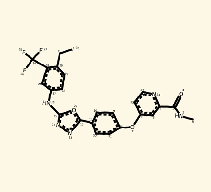 CNC(=O)c1cc(Oc2ccc(-c3nnc(Nc4ccc(CI)c(C(F)(F)F)c4)o3)cc2)ccn1